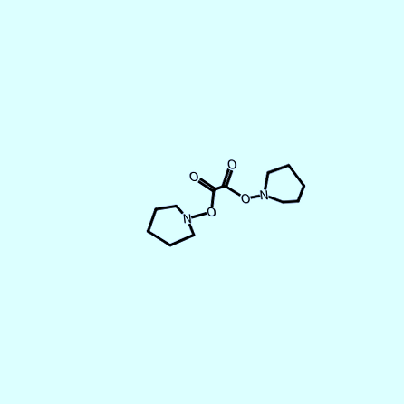 O=C(ON1CCCCC1)C(=O)ON1CCCCC1